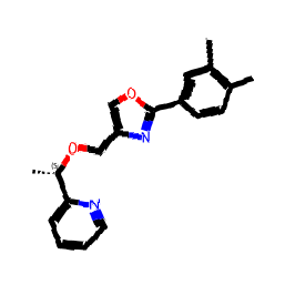 Cc1ccc(-c2nc(CO[C@@H](C)c3ccccn3)co2)cc1C